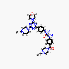 CCCN1CCN(C(=O)c2ccc(NC(=O)Nc3ccc(-c4nc(N5CCOCC5)nc(N5CCCN(C(C)=O)CC5)n4)cc3)cc2)CC1